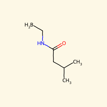 BCNC(=O)CC(C)C